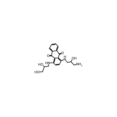 NCC(O)CNc1ccc(NCC(O)CO)c2c1C(=O)c1ccccc1C2=O